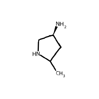 CC1C[C@H](N)CN1